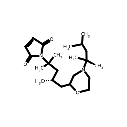 CC(C)CC(C)(C)N1CCOC(C[C@H](C)CC(C)(C)N2C(=O)C=CC2=O)C1